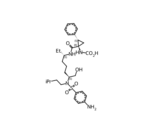 CC[C@@H](CCC[C@@H](CO)N(CCC(C)C)S(=O)(=O)c1ccc(N)cc1)NC(=O)[C@@]1(NC(=O)O)C[C@H]1c1ccccc1